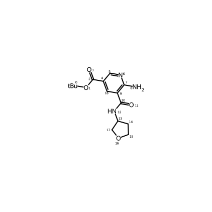 CC(C)(C)OC(=O)c1cnc(N)c(C(=O)NC2CCOC2)c1